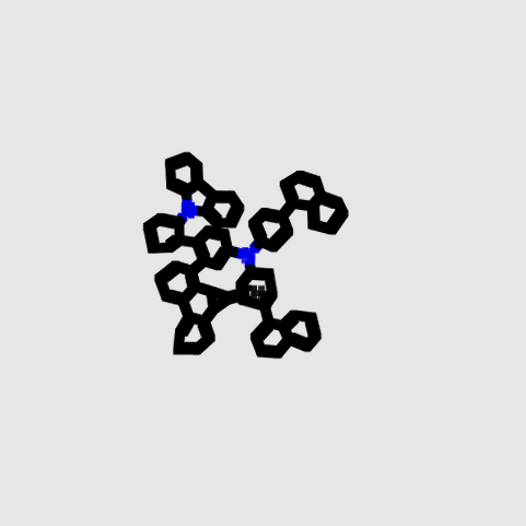 C=C1C2c3ccccc3-c3cccc(-c4cc(N(c5ccc(-c6cccc7ccccc67)cc5)c5ccc(-c6cccc7ccccc67)cc5)ccc4-c4ccccc4-n4c5ccccc5c5ccccc54)c3C12